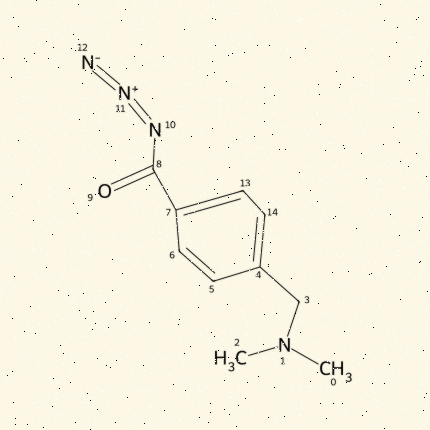 CN(C)Cc1ccc(C(=O)N=[N+]=[N-])cc1